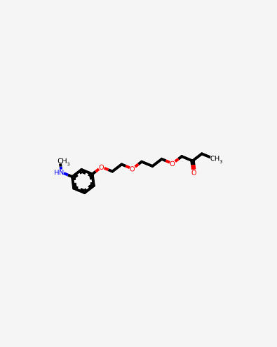 CCC(=O)COCCCOCCOc1cccc(NC)c1